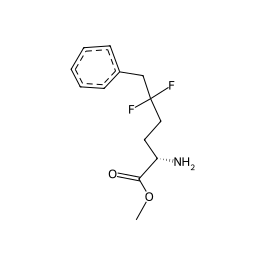 COC(=O)[C@@H](N)CCC(F)(F)Cc1ccccc1